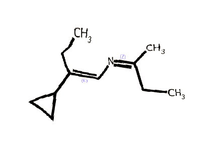 CC/C(C)=N\C=C(/CC)C1CC1